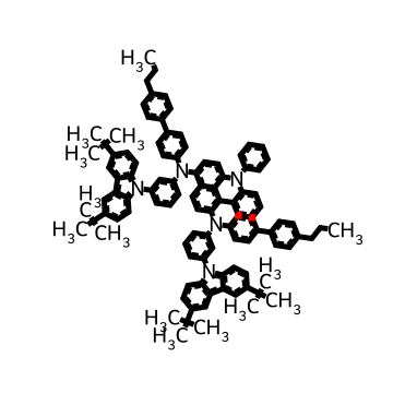 CCCc1ccc(-c2ccc(N(c3cccc(-n4c5ccc(C(C)(C)C)cc5c5cc(C(C)(C)C)ccc54)c3)c3ccc4c(N(c5ccc(-c6ccc(CCC)cc6)cc5)c5cccc(-n6c7ccc(C(C)(C)C)cc7c7cc(C(C)(C)C)ccc76)c5)ccc5c4c3-c3ccccc3N5c3ccccc3)cc2)cc1